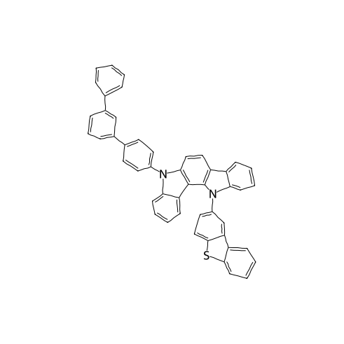 c1ccc(-c2cccc(-c3ccc(-n4c5ccccc5c5c4ccc4c6ccccc6n(-c6ccc7sc8ccccc8c7c6)c45)cc3)c2)cc1